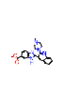 COC(=O)c1ccc2nc(-c3cc4ccccc4nc3N3CCN(C)CC3)[nH]c2c1